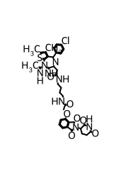 CC(=N)N1C(=N)C(CC(=O)NCCCCNC(=O)COc2cccc3c2C(=O)N(C2CCC(=O)NC2=O)C3=O)N=C(c2ccc(Cl)cc2)c2c1sc(C)c2C